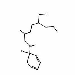 CCCC(CC)CCC(C)CP(C)C1(F)C=CC=CC1